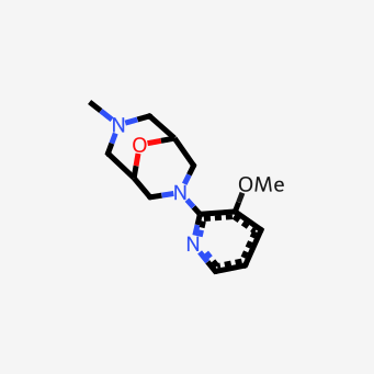 COc1cccnc1N1CC2CN(C)CC(C1)O2